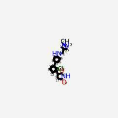 Cn1cc(CNc2ccc(-c3cccc(C4CCC(=O)NC4=O)c3Cl)cc2)cn1